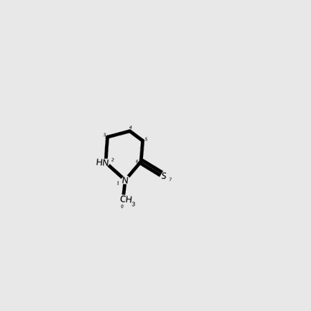 CN1NCCCC1=S